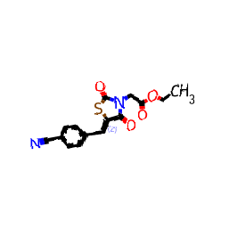 CCOC(=O)CN1C(=O)S/C(=C\c2ccc(C#N)cc2)C1=O